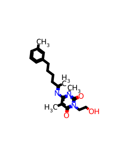 CC1=CC(CCCC/C(C)=N/c2c(C)c(=O)n(CCO)c(=O)n2C)=C=C=C1